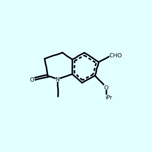 CC(C)Oc1cc2c(cc1C=O)CCC(=O)N2C